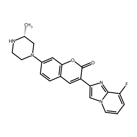 C[C@@H]1CN(c2ccc3cc(-c4cn5cccc(F)c5n4)c(=O)oc3c2)CCN1